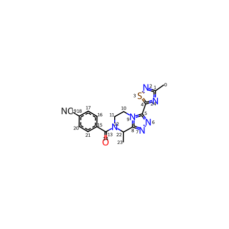 Cc1nsc(-c2nnc3n2CCN(C(=O)c2ccc(C#N)cc2)C3C)n1